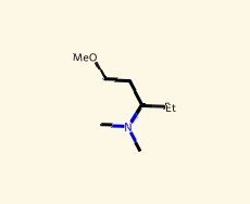 CCC(C[CH]OC)N(C)C